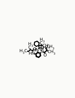 CCC(C)C(=O)Nc1cccc(NC(=O)C(C)CC)c1NC(=O)C1(C(C)(C)C)CCCCC1